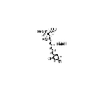 O=C(O)C(O)C(O)(CC(O)CCCCCCc1ccc(Cl)cc1Cl)C(=O)O.[NaH].[NaH]